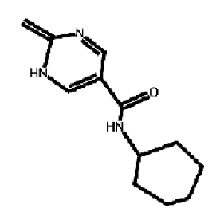 C=C1N=CC(C(=O)NC2CCCCC2)=CN1